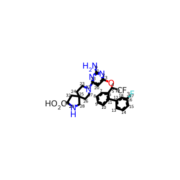 Nc1nc(OC(c2ccccc2-c2cccc(F)c2)C(F)(F)F)cc(N2CCC3(CC2)CNC(C(=O)O)C3)n1